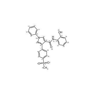 CS(=O)(=O)c1ccc(-c2nn(-c3ccccc3)cc2C(=O)Nc2ccccc2O)cc1